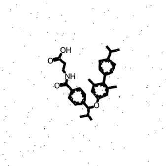 Cc1cc(OC(c2ccc(C(=O)NCCC(=O)O)cc2)C(C)C)cc(C)c1-c1ccc(C(C)C)cc1